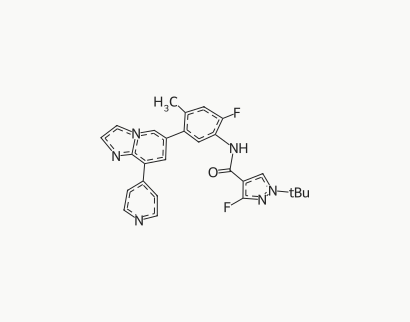 Cc1cc(F)c(NC(=O)c2cn(C(C)(C)C)nc2F)cc1-c1cc(-c2ccncc2)c2nccn2c1